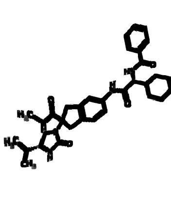 CNC(=O)C1(N2C[C@@H](C(C)C)NC2=O)Cc2ccc(NC(=O)[C@@H](NC(=O)c3ccccc3)C3CCCCC3)cc2C1